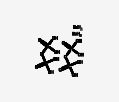 O=P(O)(O)OP(=O)(O)O.O=P(O)(O)OP(=O)(O)O.[BaH2].[BaH2]